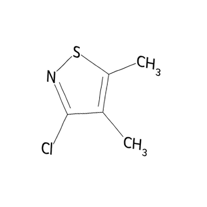 Cc1snc(Cl)c1C